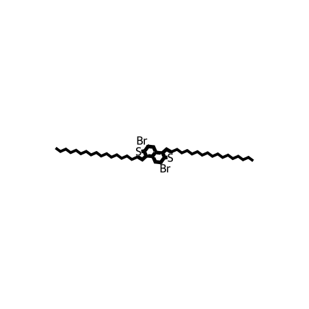 CCCCCCCCCCCCCCCCc1cc2c(s1)c(Br)cc1c3cc(CCCCCCCCCCCCCCCC)sc3c(Br)cc21